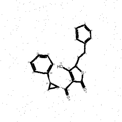 O=C1OC(CCc2ccccc2)C(O)=C1C(=O)[C@@H]1C[C@H]1c1ccccc1